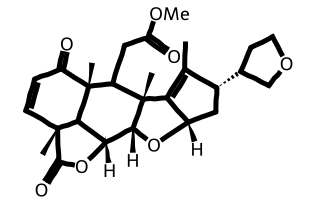 COC(=O)CC1[C@@]2(C)C(=O)C=C[C@@]3(C)C(=O)O[C@H](C23)[C@H]2O[C@H]3C[C@@H](C4CCOC4)C(C)=C3[C@@]12C